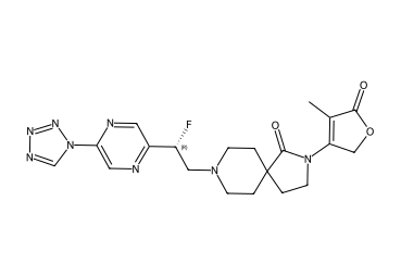 CC1=C(N2CCC3(CCN(C[C@@H](F)c4cnc(-n5cnnn5)cn4)CC3)C2=O)COC1=O